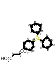 O=C(O)CCC(=O)O.c1ccc([S+](c2ccccc2)c2ccccc2)cc1